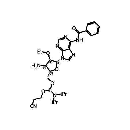 CCO[C@@H]1[C@H](N)[C@@H](COP(OCCC#N)N(C(C)C)C(C)C)O[C@H]1n1cnc2c(NC(=O)c3ccccc3)ncnc21